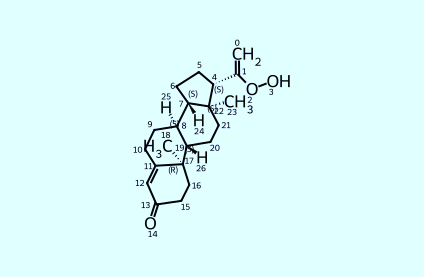 C=C(OO)[C@H]1CC[C@H]2[C@@H]3CCC4=CC(=O)CC[C@]4(C)[C@H]3CC[C@]12C